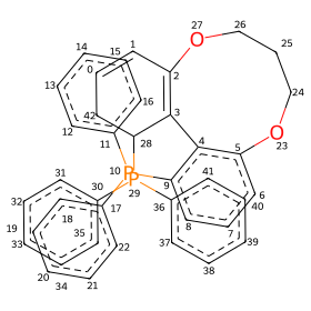 C1=CC2=C(c3c(cccc3P(c3ccccc3)c3ccccc3)OCCCO2)C(P(c2ccccc2)c2ccccc2)C1